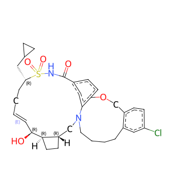 O=C1NS(=O)(=O)[C@@H](CC2CC2)CC/C=C/[C@H](O)[C@@H]2CC[C@H]2CN2CCCCc3cc(Cl)ccc3COc3ccc1cc32